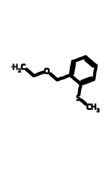 [CH2]COCc1ccccc1SC